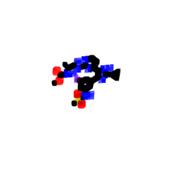 COC(=O)N[C@@H](C)CNc1nccc(-c2[nH]c(C3CC3)nc2-c2cc(I)cc(NS(C)(=O)=O)c2)n1